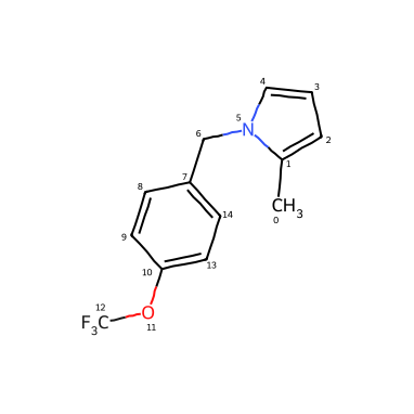 Cc1cccn1Cc1ccc(OC(F)(F)F)cc1